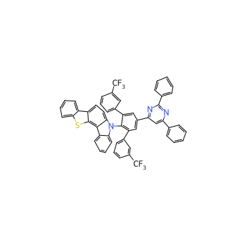 FC(F)(F)c1cccc(-c2cc(-c3cc(-c4ccccc4)nc(-c4ccccc4)n3)cc(-c3cccc(C(F)(F)F)c3)c2-n2c3ccccc3c3c4sc5ccccc5c4ccc32)c1